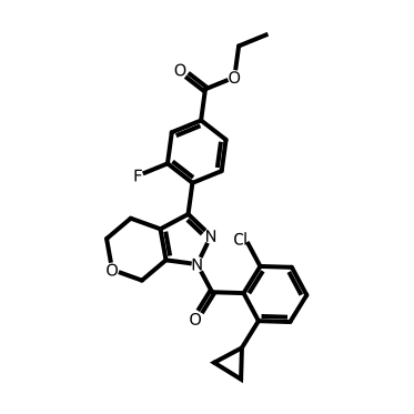 CCOC(=O)c1ccc(-c2nn(C(=O)c3c(Cl)cccc3C3CC3)c3c2CCOC3)c(F)c1